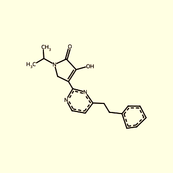 CC(C)N1CC(c2nccc(CCc3ccccc3)n2)=C(O)C1=O